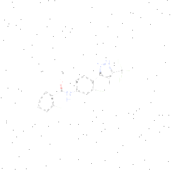 Cc1c(C(F)(F)F)n[nH]c1-c1ccc(NC(=O)c2ccccc2F)cc1F